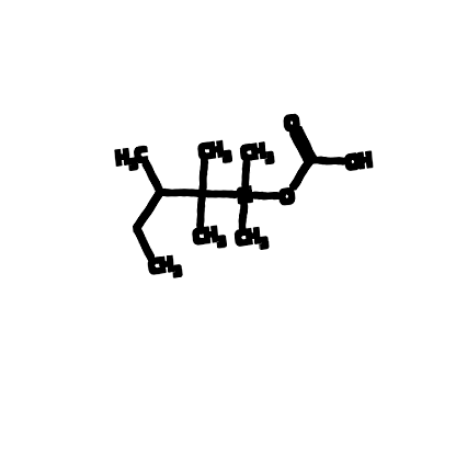 CCC(C)C(C)(C)[Si](C)(C)OC(=O)O